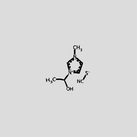 CC(O)[n+]1ccn(C)c1.N#C[S-]